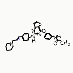 C=CC(=O)Nc1cccc(Oc2nc(Nc3ccc(/C=C/CN4CCCCC4)cc3)nc3ccsc23)c1